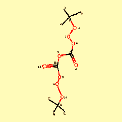 CC(C)(C)OOOC(=O)OC(=O)OOOC(C)(C)C